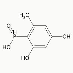 Cc1cc(O)cc(O)c1[PH](=O)O